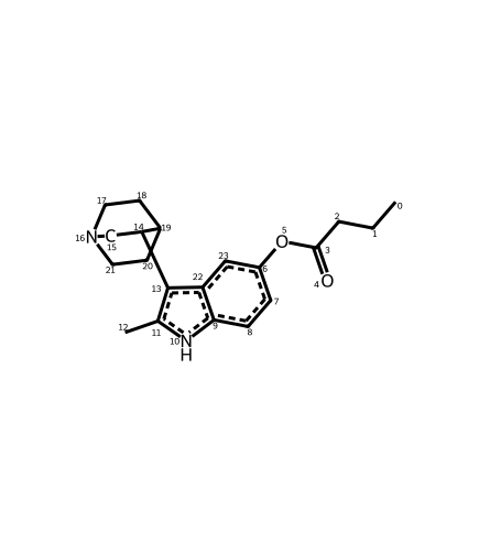 CCCC(=O)Oc1ccc2[nH]c(C)c(C3CN4CCC3CC4)c2c1